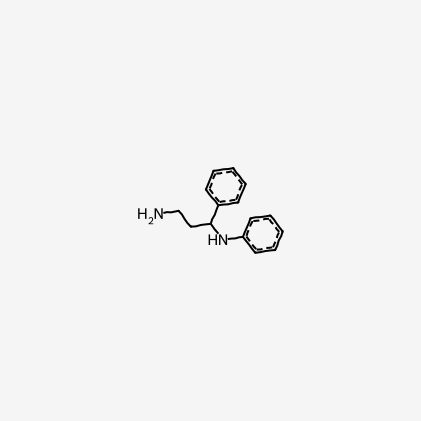 NCCC(Nc1ccccc1)c1ccccc1